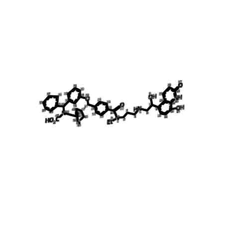 CCN(CCCNCC(O)c1ccc(O)c2[nH]c(=O)ccc12)C(=O)c1ccc(COc2cccc(C(c3ccccc3)N(C(=O)O)C3CN4CCC3CC4)c2)cc1